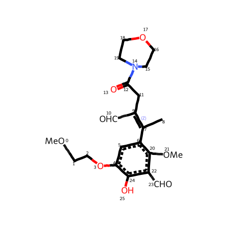 COCCOc1cc(/C(C)=C(\C=O)CC(=O)N2CCOCC2)c(OC)c(C=O)c1O